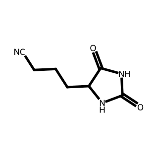 N#CCCCC1NC(=O)NC1=O